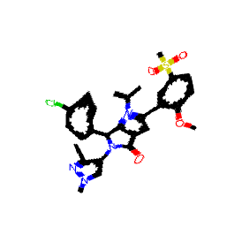 COc1ccc(S(C)(=O)=O)cc1-c1cc2c(n1C(C)C)C(c1ccc(Cl)cc1)N(c1cn(C)nc1C)C2=O